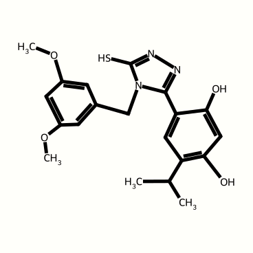 COc1cc(Cn2c(S)nnc2-c2cc(C(C)C)c(O)cc2O)cc(OC)c1